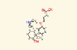 CC1(c2cccc(OCCCC(=O)O)c2)CCCCC1O.CNC